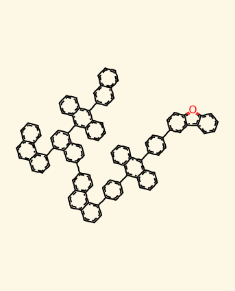 c1ccc2cc(-c3c4ccccc4c(-c4ccc(-c5cccc6ccc7ccccc7c56)c5cc(-c6ccc7c(ccc8cccc(-c9ccc(-c%10c%11ccccc%11c(-c%11ccc(-c%12ccc%13oc%14ccccc%14c%13c%12)cc%11)c%11ccccc%10%11)cc9)c87)c6)ccc45)c4ccccc34)ccc2c1